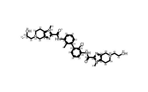 Cc1c(NC(=O)c2nc3c(n2C)CCN(C[C@H](C)O)C3)cccc1-c1cccc(NC(=O)c2nc3c(n2C)CCN(CCO)C3)c1Cl